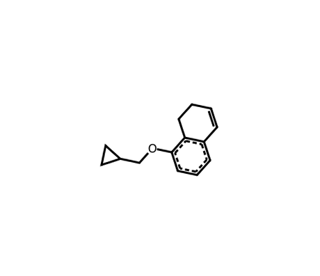 C1=Cc2cccc(OCC3CC3)c2CC1